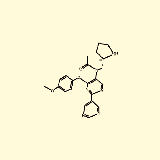 COc1ccc(Oc2nc(-c3cncnc3)ncc2N(C[C@@H]2CCCN2)C(C)=O)cc1